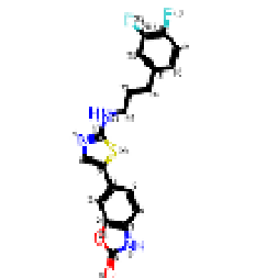 O=c1[nH]c2ccc(-c3cnc(NCCCc4ccc(F)c(F)c4)s3)cc2o1